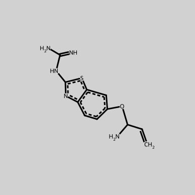 C=CC(N)Oc1ccc2nc(NC(=N)N)sc2c1